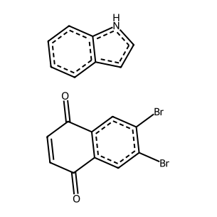 O=C1C=CC(=O)c2cc(Br)c(Br)cc21.c1ccc2[nH]ccc2c1